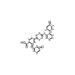 O=C(O)c1ccc(N2CCN(Cc3ccccc3-c3ccc(Cl)cc3)CC2)cc1Oc1cccc(Cl)c1